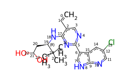 C=Cc1cnc(-c2c[nH]c3ncc(Cl)cc23)nc1N[C@H](CC(O)O)C(C)(C)C